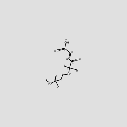 COC(C)(C)CCOC(C)(C)C(=O)/C=C/C(=O)O